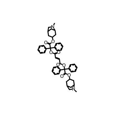 CN1CC2CC(OC(=O)C(OC(=O)/C=C/C(=O)OC(C(=O)OC3CC4CC(C3)N(C)C4)(c3ccccc3)c3ccccc3)(c3ccccc3)c3ccccc3)CC1C2